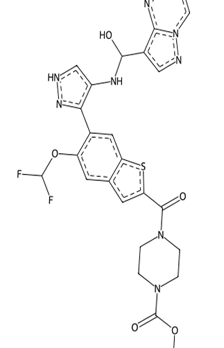 CC(C)(C)OC(=O)N1CCN(C(=O)c2cc3cc(OC(F)F)c(-c4n[nH]cc4NC(O)c4cnn5cccnc45)cc3s2)CC1